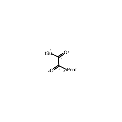 CCCC(C)C(=O)C(=O)C(C)(C)C